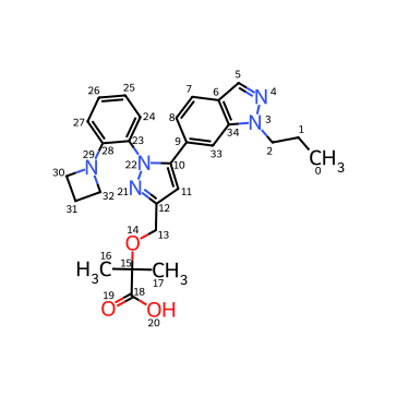 CCCn1ncc2ccc(-c3cc(COC(C)(C)C(=O)O)nn3-c3ccccc3N3CCC3)cc21